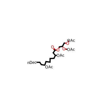 CCCCCCCCCCCCC(CCCCC(CC(=O)OCC(COOC(C)=O)OOC(C)=O)OC(C)=O)OC(C)=O